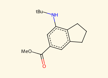 COC(=O)c1cc2c(c(NC(C)(C)C)c1)CCC2